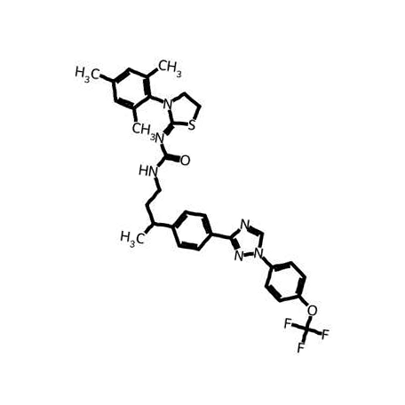 Cc1cc(C)c(N2CCS/C2=N\C(=O)NCCC(C)c2ccc(-c3ncn(-c4ccc(OC(F)(F)F)cc4)n3)cc2)c(C)c1